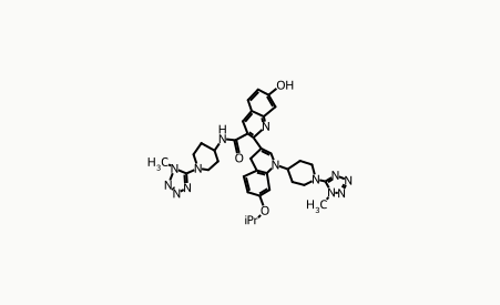 CC(C)Oc1ccc2c(c1)N(C1CCN(c3nnnn3C)CC1)C=C(c1nc3cc(O)ccc3cc1C(=O)NC1CCN(c3nnnn3C)CC1)C2